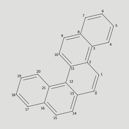 [c]1cc2c3ccccc3ccc2c2c1ccc1ccccc12